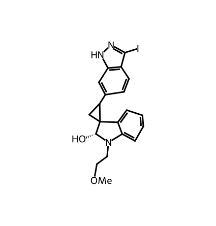 COCCN1c2ccccc2C2(CC2c2ccc3c(I)n[nH]c3c2)[C@H]1O